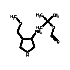 CC(C)(C)OC=O.COCC1CNCC1N